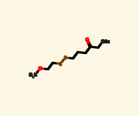 CC(=O)OCC(=O)CCCSSCCO[N+](=O)[O-]